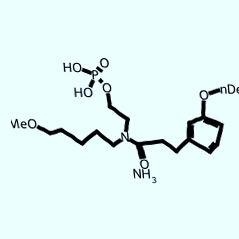 CCCCCCCCCCOc1cccc(CCC(=O)N(CCCCCOC)CCOP(=O)(O)O)c1.N